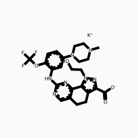 CN1CCN(c2ccc(OC(F)(F)F)c(Nc3ncc4c(n3)-c3c(c(C(=O)[O-])nn3CCO)CC4)c2)CC1.[K+]